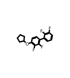 Fc1cccc(-c2ccc(OC3CCCC3)c(F)c2F)c1F